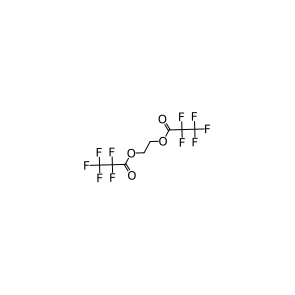 O=C(OCCOC(=O)C(F)(F)C(F)(F)F)C(F)(F)C(F)(F)F